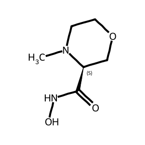 CN1CCOC[C@H]1C(=O)NO